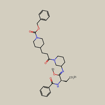 CCOC(=O)C[C@@H](NC(=O)c1ccccc1)C(=NC1CCCN(C(=O)CCC2CCN(C(=O)OCc3ccccc3)CC2)C1)OCC